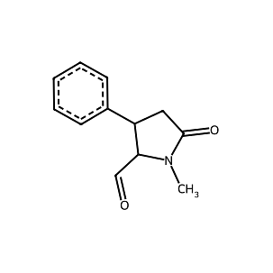 CN1C(=O)CC(c2ccccc2)C1C=O